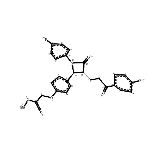 CC(C)(C)OC(=O)COc1ccc([C@@H]2[C@@H](CCC(=O)c3ccc(F)cc3)C(=O)N2c2ccc(F)cc2)cc1